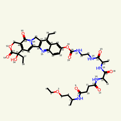 CCOCCC(C)NC(=O)CCC(=O)NC(C)C(=O)NC(C)C(=O)NCCNC(=O)Oc1ccc2nc3c(c(CC)c2c1)Cn1c-3cc2c(c1=O)COC(=O)C2(O)CC